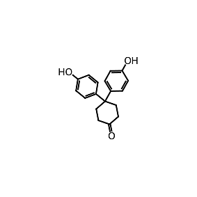 O=C1CCC(c2ccc(O)cc2)(c2ccc(O)cc2)CC1